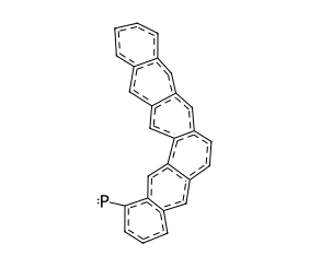 [P]c1cccc2cc3ccc4cc5cc6ccccc6cc5cc4c3cc12